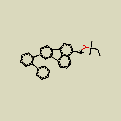 CCC(C)(C)OBc1ccc2c3c(cccc13)-c1cc(-c3ccccc3-c3ccccc3)ccc1-2